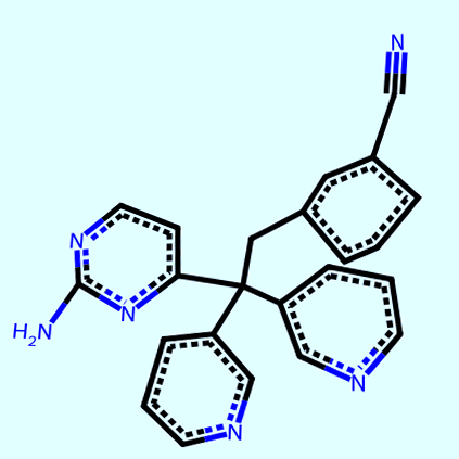 N#Cc1cccc(CC(c2cccnc2)(c2cccnc2)c2ccnc(N)n2)c1